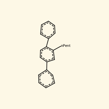 CCCCCc1cc(-c2ccccc2)ccc1-c1ccccc1